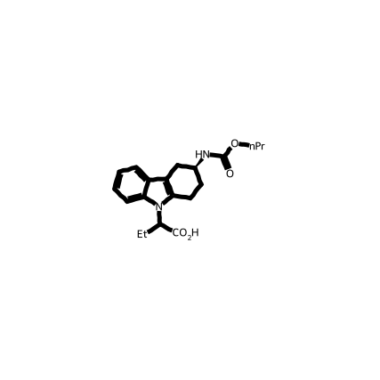 CCCOC(=O)N[C@H]1CCc2c(c3ccccc3n2C(CC)C(=O)O)C1